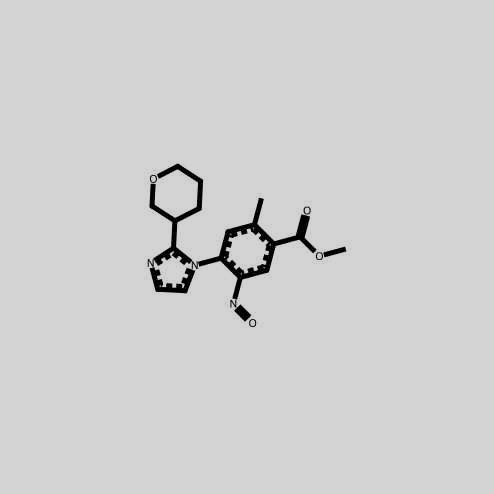 COC(=O)c1cc(N=O)c(-n2ccnc2C2CCCOC2)cc1C